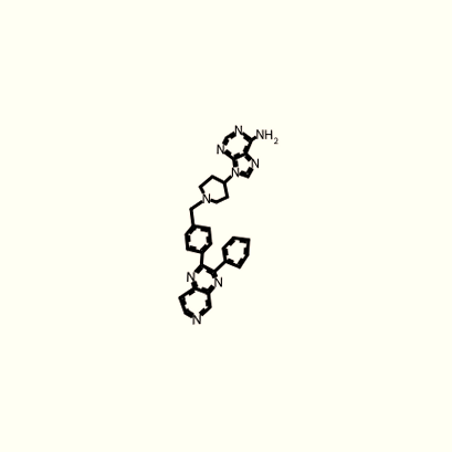 Nc1ncnc2c1ncn2C1CCN(Cc2ccc(-c3nc4ccncc4nc3-c3ccccc3)cc2)CC1